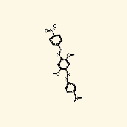 COc1cc(/N=N/c2ccc([N+](=O)[O-])cc2)c(OC)cc1/N=N/c1ccc(N(C)C)cc1